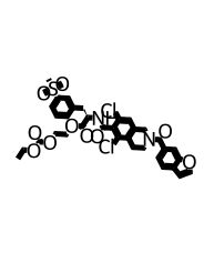 CCOC(=O)OCCOC(=O)[C@H](Cc1cccc(S(C)(=O)=O)c1)NC(=O)c1c(Cl)cc2c(c1Cl)CCN(C(=O)c1ccc3ccoc3c1)C2